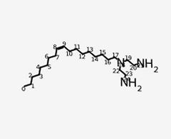 CCCCCCCC/C=C\CCCCCCCCN(CCN)CCN